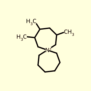 CC1CC(C)C(C)C[N+]2(CCCCCC2)C1